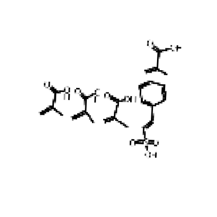 C=C(C)C(=O)O.C=C(C)C(=O)O.C=C(C)C(=O)O.C=C(C)C(=O)O.O=S(=O)(O)C=Cc1ccccc1